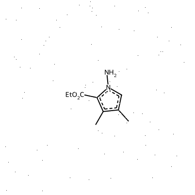 CCOC(=O)c1c(C)c(C)cn1N